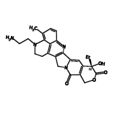 CC[C@@]1(O)C(=O)OCc2c1cc1n(c2=O)Cc2c-1nc1ccc(C)c3c1c2CCN3CCN